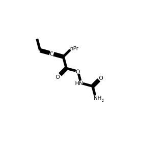 CC=C=C(CCC)C(=O)ONC(N)=O